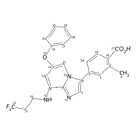 Cc1cc(-c2cnc3c(NCCC(F)(F)F)cc(Oc4ccccc4)cn23)ccc1C(=O)O